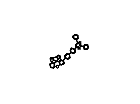 c1ccc(-c2cc(-c3ccc(-c4ccc(-c5ccc6c(c5)C5(c7ccccc7O6)c6ccccc6-c6ccccc65)cc4)cc3)nc(-c3ccccc3)n2)cc1